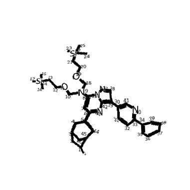 CC1CC2CC(c3cc(N(COCC[Si](C)(C)C)COCC[Si](C)(C)C)n4ncc(-c5ccc(-c6ccccc6)nc5)c4n3)CC1C2